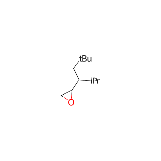 CC(C)C(CC(C)(C)C)C1CO1